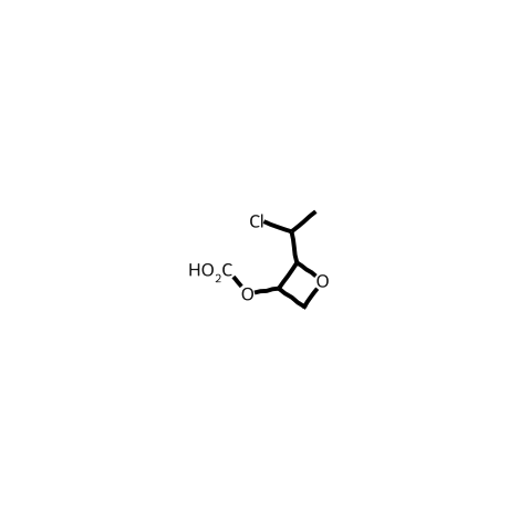 CC(Cl)C1OCC1OC(=O)O